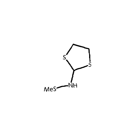 CSNC1SCCS1